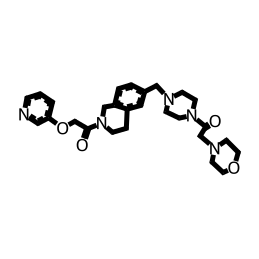 O=C(CN1CCOCC1)N1CCN(Cc2ccc3c(c2)CCN(C(=O)COc2cccnc2)C3)CC1